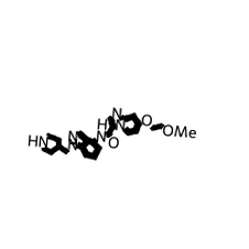 COCCOc1ccn2c(C(=O)Nc3cccc4c3cnn4CC3CCNCC3)cnc2c1